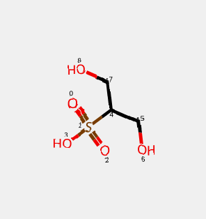 O=S(=O)(O)C([CH]O)[CH]O